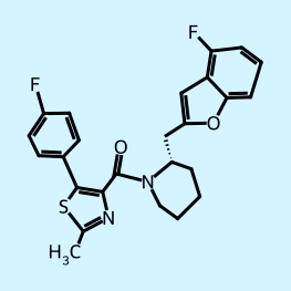 Cc1nc(C(=O)N2CCCC[C@H]2Cc2cc3c(F)cccc3o2)c(-c2ccc(F)cc2)s1